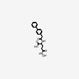 O=C(CCC(NC(=O)Cc1ccc(-c2ccccc2)cc1)C(=O)O)NO